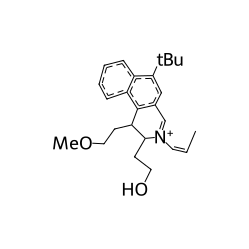 C/C=C\[N+]1=Cc2cc(C(C)(C)C)c3ccccc3c2C(CCOC)C1CCO